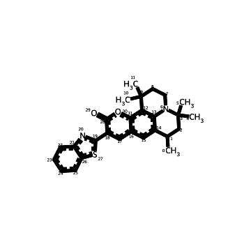 CC1CC(C)(C)N2CCC(C)(C)c3c2c1cc1cc(-c2nc4ccccc4s2)c(=O)oc31